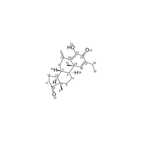 C=C1C[C@@H]2[C@H](CC[C@]3(C)C(=O)CC[C@@H]23)[C@@]2(C)C=C(CC)C(=O)C(O)=C12